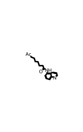 CC(=O)CCCCCCC(=O)Nc1cccc2ncccc12